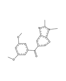 COc1cc(OC)cc(C(=O)c2ccc3c(c2)nc(C)n3C)c1